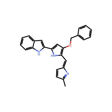 CC1=NC(=Cc2[nH]c(-c3cc4ccccc4[nH]3)cc2OCc2ccccc2)C=C1